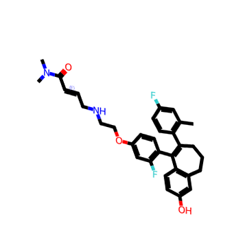 Cc1cc(F)ccc1C1=C(c2ccc(OCCNC/C=C/C(=O)N(C)C)cc2F)c2ccc(O)cc2CCC1